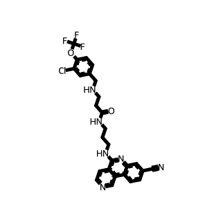 N#Cc1ccc2c(c1)nc(NCCCNC(=O)CCNCc1ccc(OC(F)(F)F)c(Cl)c1)c1ccncc12